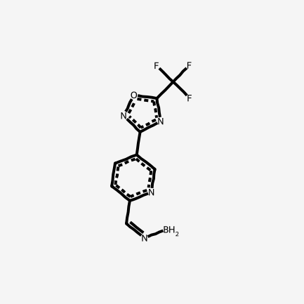 B/N=C\c1ccc(-c2noc(C(F)(F)F)n2)cn1